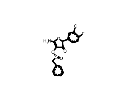 NC1=C(OS(=O)Cc2ccccc2)C(=O)C(c2ccc(Cl)c(Cl)c2)O1